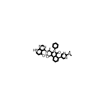 C[C@H](Nc1ncnc2[nH]ccc(=O)c12)c1c(Cl)c2cccc(-c3cnc(N(C)C)nc3)c2c(=O)n1-c1ccccc1